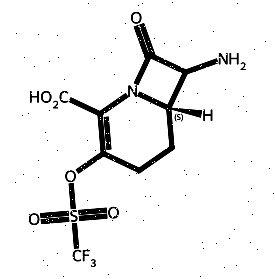 NC1C(=O)N2C(C(=O)O)=C(OS(=O)(=O)C(F)(F)F)CC[C@@H]12